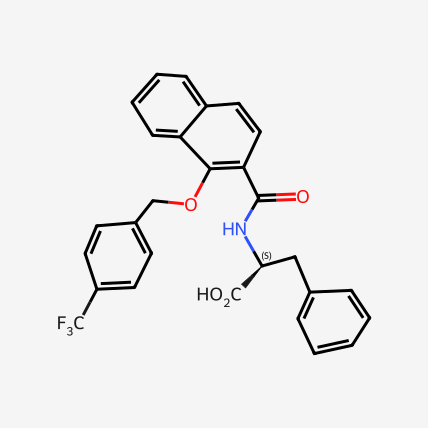 O=C(N[C@@H](Cc1ccccc1)C(=O)O)c1ccc2ccccc2c1OCc1ccc(C(F)(F)F)cc1